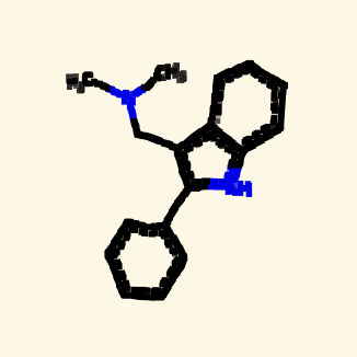 CN(C)Cc1c(-c2ccccc2)[nH]c2ccccc12